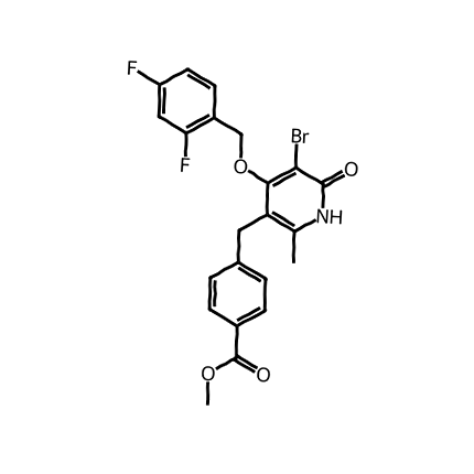 COC(=O)c1ccc(Cc2c(C)[nH]c(=O)c(Br)c2OCc2ccc(F)cc2F)cc1